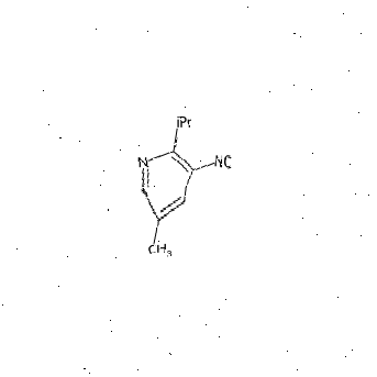 [C-]#[N+]c1cc(C)cnc1C(C)C